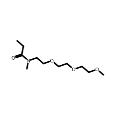 CCC(=O)N(C)CCOCCOCCOC